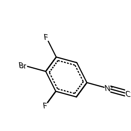 [C-]#[N+]c1cc(F)c(Br)c(F)c1